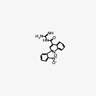 N=C(N)NC(=O)c1cc(-c2ccccc2[N+](=O)[O-])nc2ccccc12